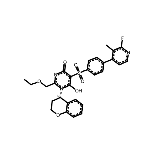 CCOCc1nc(=O)c(S(=O)(=O)c2ccc(-c3ccnc(F)c3C)cc2)c(O)n1[C@H]1CCOc2ccccc21